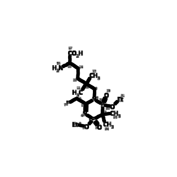 CCOP1(=O)N=C(CF)N(CC(C)(C)CCC(N)C(=O)O)P(=O)(OCC)C1(C)C